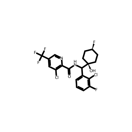 O=C(NC(c1cccc(F)c1Cl)[C@]1(O)CC[C@@H](F)CC1)c1ncc(C(F)(F)F)cc1Cl